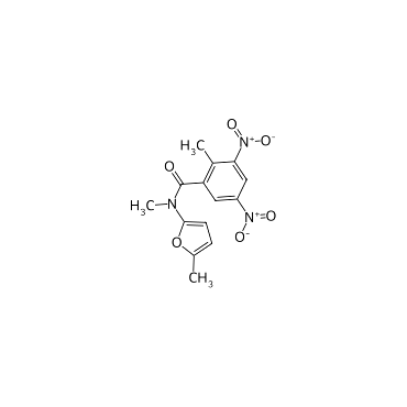 Cc1ccc(N(C)C(=O)c2cc([N+](=O)[O-])cc([N+](=O)[O-])c2C)o1